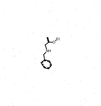 C=C(CNCc1ccccc1)OCC